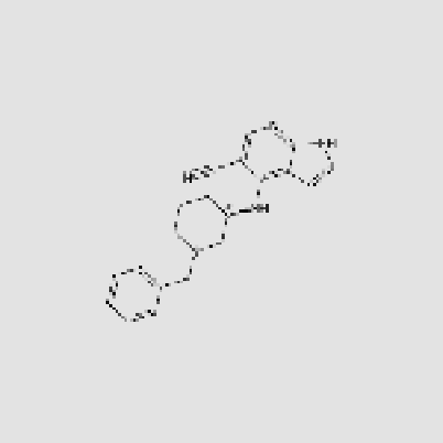 N#Cc1cnc2[nH]ccc2c1N[C@@H]1CCCN(Cc2ccccc2)C1